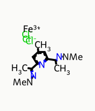 CNN=C(C)c1cc(C)cc(C(C)=NNC)n1.[Cl-].[Cl-].[Cl-].[Fe+3]